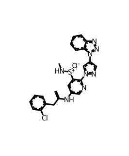 C=C(Cc1ccccc1Cl)Nc1cnc(-n2cc(-n3nnc4ccccc43)cn2)c([S+]([O-])NC)c1